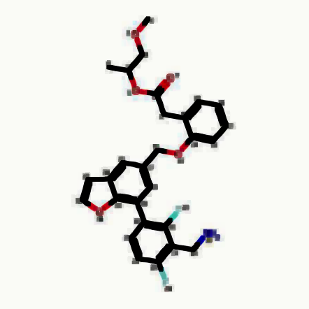 COCC(C)OC(=O)Cc1ccccc1OCc1cc(-c2ccc(F)c(CN)c2F)c2occc2c1